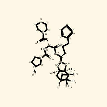 CC1(C)[C@@H]2C[C@H]3OB([C@H](CCCc4ccccc4)NC(=O)[C@@H](CC(=O)N4CCOCC4)NC(=O)N4CC[C@@H](O)C4)O[C@@]3(C)[C@H]1C2